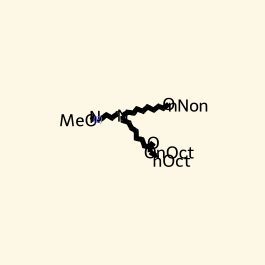 CCCCCCCCCOCCCCCCCCN(CCC/C=N/OC)CCCCCCCC(=O)OC(CCCCCCCC)CCCCCCCC